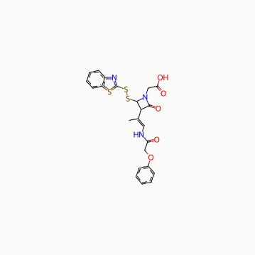 CC(=CNC(=O)COc1ccccc1)C1C(=O)N(CC(=O)O)C1SSc1nc2ccccc2s1